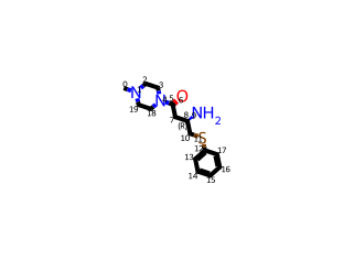 CN1CCN(C(=O)C[C@@H](N)CSc2ccccc2)CC1